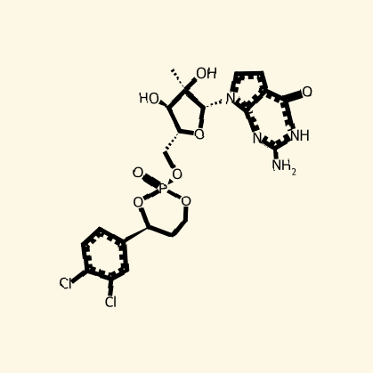 C[C@@]1(O)[C@H](O)[C@@H](CO[P@@]2(=O)OCC[C@@H](c3ccc(Cl)c(Cl)c3)O2)O[C@H]1n1ccc2c(=O)[nH]c(N)nc21